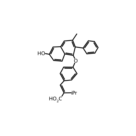 Cc1cc2cc(O)ccc2c(Oc2ccc(C=C(C(=O)O)C(C)C)cc2)c1-c1ccccc1